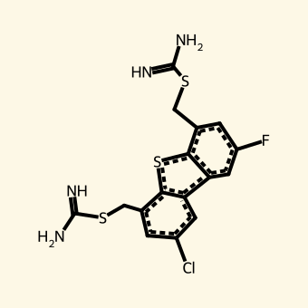 N=C(N)SCc1cc(F)cc2c1sc1c(CSC(=N)N)cc(Cl)cc12